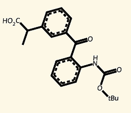 CC(C(=O)O)c1cccc(C(=O)c2ccccc2NC(=O)OC(C)(C)C)c1